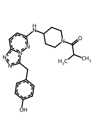 CC(C)C(=O)N1CCC(Nc2ccc3nnc(Cc4ccc(O)cc4)n3n2)CC1